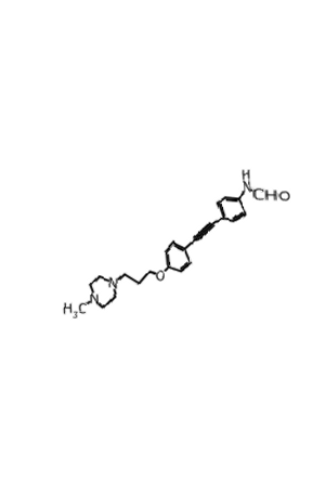 CN1CCN(CCCOc2ccc(C#Cc3ccc(NC=O)cc3)cc2)CC1